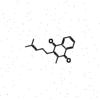 CC(C)=CCCC1=C(C)C(=O)c2ccccc2C1=O